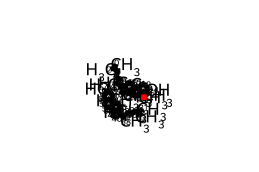 CC(C)=CCC[C@@H](C)[C@H]1CC[C@@]2(C)C3=C(CC[C@]12C)[C@@]1(C)CC[C@H](O)C(C)(C)[C@@H]1CC3.CC(C)=CCC[C@@H](C)[C@H]1CC[C@H]2C3=C(CC[C@]12C)[C@@]1(C)CC[C@H](O)C[C@@H]1CC3